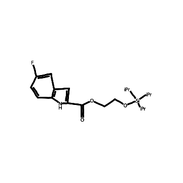 CC(C)[Si](OCCOC(=O)c1cc2cc(F)ccc2[nH]1)(C(C)C)C(C)C